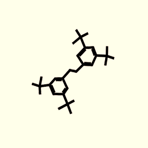 CC(C)(C)c1cc(CCc2cc(C(C)(C)C)cc(C(C)(C)C)c2)cc(C(C)(C)C)c1